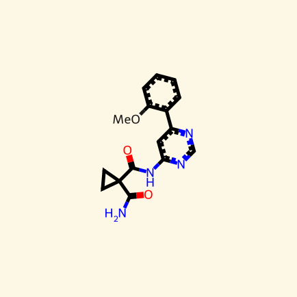 COc1ccccc1-c1cc(NC(=O)C2(C(N)=O)CC2)ncn1